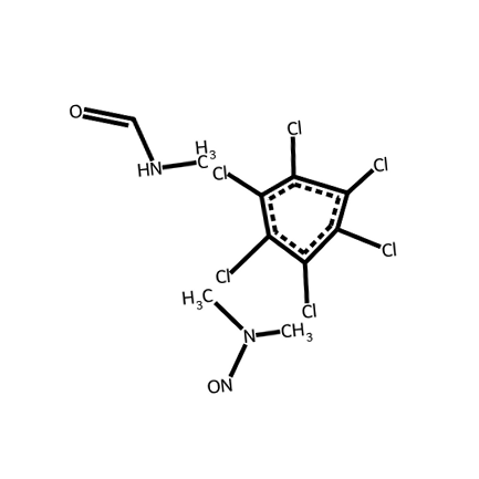 CN(C)N=O.CNC=O.Clc1c(Cl)c(Cl)c(Cl)c(Cl)c1Cl